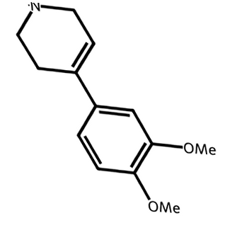 COc1ccc(C2=CC[N]CC2)cc1OC